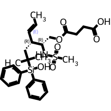 C/C=C/[C@@H](CC(C)(C)[Si](O)(c1ccccc1)c1ccccc1)[C@H](COC(=O)CCC(=O)O)NS(C)(=O)=O